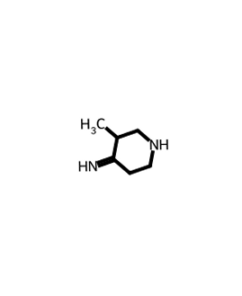 CC1CNCCC1=N